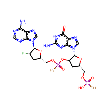 Nc1nc2c(ncn2[C@@H]2O[C@H](COP(=O)(O)S)C[C@H]2OP(=O)(S)OC[C@@H]2C[C@H](F)[C@@H](n3cnc4c(N)ncnc43)O2)c(=O)[nH]1